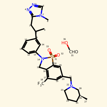 CC(Cc1nncn1C)c1cccc(N2Cc3c(C(F)(F)F)cc(CN4CCC[C@H](C)C4)cc3S2(=O)=O)c1.O=CO